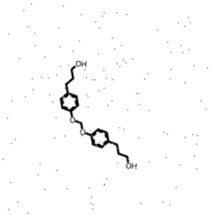 OCCCc1ccc(OCOc2ccc(CCCO)cc2)cc1